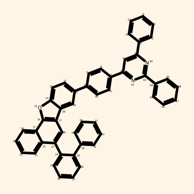 c1ccc(-c2cc(-c3ccc(-c4ccc5oc6c7ccccc7c(-c7ccccc7-c7ccccc7)cc6c5c4)cc3)nc(-c3ccccc3)n2)cc1